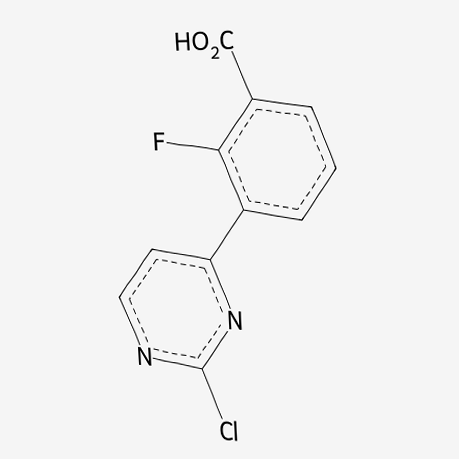 O=C(O)c1cccc(-c2ccnc(Cl)n2)c1F